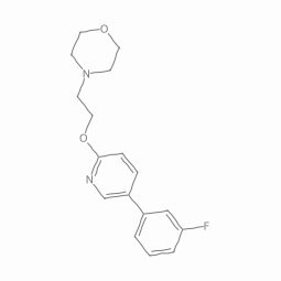 Fc1cccc(-c2ccc(OCCN3CCOCC3)nc2)c1